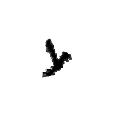 CCCCCCCCCCC1N(CCCCC)C=CN1CCCCCC